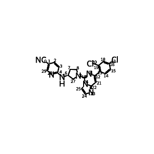 N#Cc1ccc(N[C@H]2CCN(c3nc(-c4ccc(Cl)cc4Cl)cc4nccn34)C2)nc1